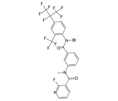 CN(C(=O)c1cccnc1F)c1cccc(C(=O)N(Br)c2ccc(C(F)(C(F)(F)F)C(F)(F)F)cc2C(F)(F)F)c1